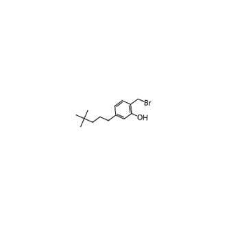 CC(C)(C)CCCc1ccc(CBr)c(O)c1